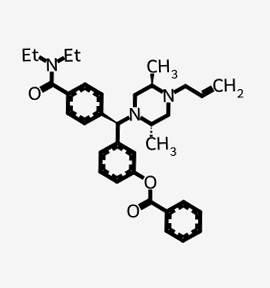 C=CCN1C[C@H](C)N([C@H](c2ccc(C(=O)N(CC)CC)cc2)c2cccc(OC(=O)c3ccccc3)c2)C[C@H]1C